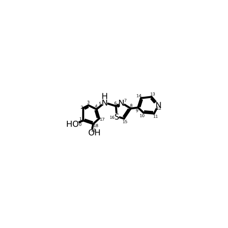 Oc1ccc(Nc2nc(-c3ccncc3)cs2)cc1O